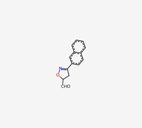 O=CC1CC(c2ccc3ccccc3c2)=NO1